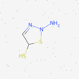 NN1N=CC(S)S1